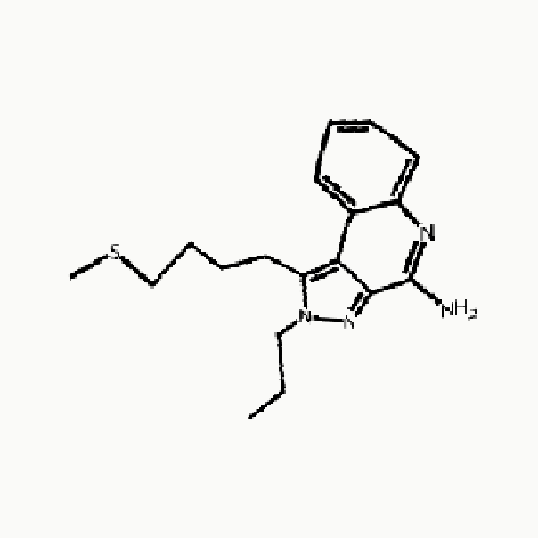 CCCn1nc2c(N)nc3ccccc3c2c1CCCCSC